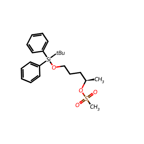 C[C@H](CCCO[Si](c1ccccc1)(c1ccccc1)C(C)(C)C)OS(C)(=O)=O